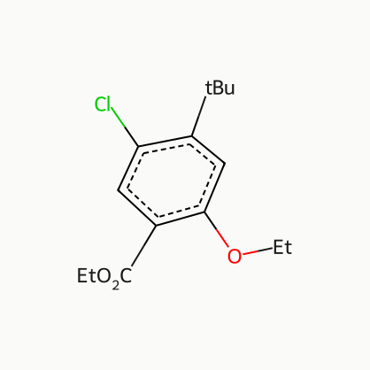 CCOC(=O)c1cc(Cl)c(C(C)(C)C)cc1OCC